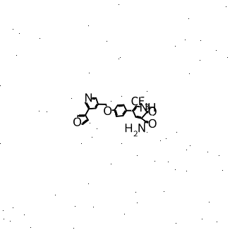 NC(=O)c1cc(-c2ccc(OCc3cncc(-c4ccoc4)c3)cc2)c(C(F)(F)F)[nH]c1=O